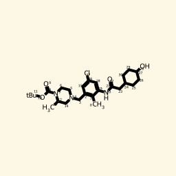 Cc1c(CN2CCN(C(=O)OC(C)(C)C)C(C)C2)cc(Cl)cc1NC(=O)CC1CCC(O)CC1